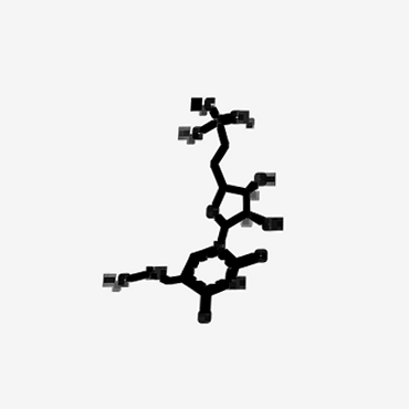 C=P(C)(C)CCC1OC(n2cc(CNC)c(=O)[nH]c2=O)[C@H](O)[C@@H]1O